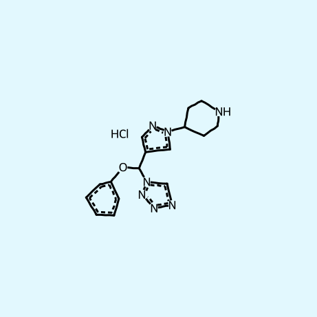 Cl.c1ccc(OC(c2cnn(C3CCNCC3)c2)n2cnnn2)cc1